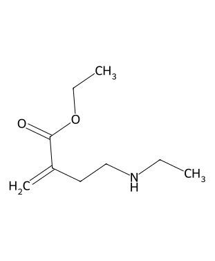 C=C(CCNCC)C(=O)OCC